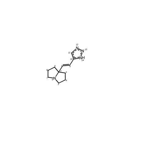 C(=C\C12CCCN1CCC2)/c1cnn[nH]1